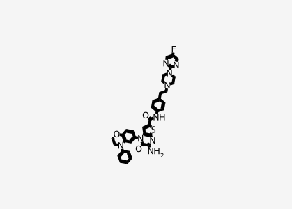 Nc1nc2sc(C(=O)Nc3ccc(CCN4CCN(c5ncc(F)cn5)CC4)cc3)cc2n(-c2ccc3c(c2)N(c2ccccc2)CCO3)c1=O